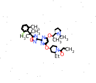 C=CC(=O)N1CC[C@H](Oc2cc(O[C@@H](C)[C@@H]3CCCN3C)nc(-c3noc(C(C)(C)c4c(C)cccc4F)n3)n2)C[C@H]1CC